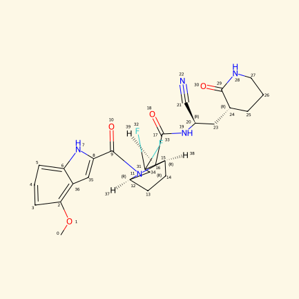 COc1cccc2[nH]c(C(=O)N3[C@@H]4CC[C@H]([C@@H]3C(=O)N[C@@H](C#N)C[C@H]3CCCNC3=O)C(F)(F)C4)cc12